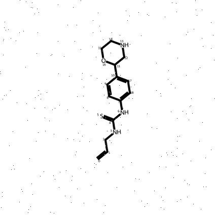 C=CCNC(=S)Nc1ccc(C2CNCCO2)cc1